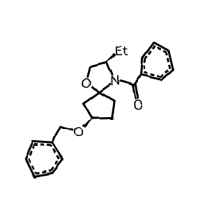 CC[C@@H]1COC2(CC[C@@H](OCc3ccccc3)C2)N1C(=O)c1ccccc1